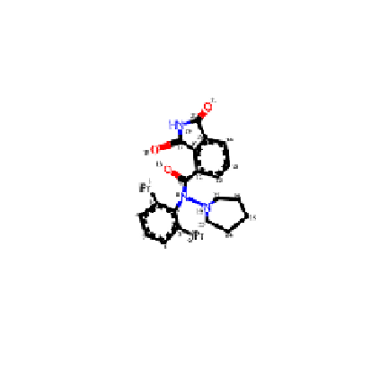 CC(C)c1cccc(C(C)C)c1N(C(=O)c1cccc2c1C(=O)NC2=O)N1CCCCC1